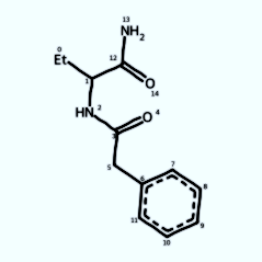 CCC(NC(=O)Cc1ccccc1)C(N)=O